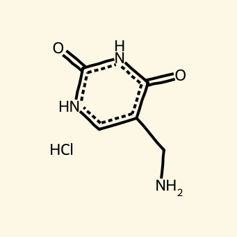 Cl.NCc1c[nH]c(=O)[nH]c1=O